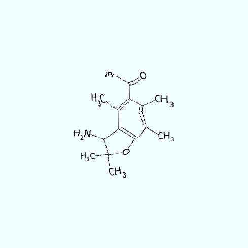 Cc1c(C)c(C(=O)C(C)C)c(C)c2c1OC(C)(C)C2N